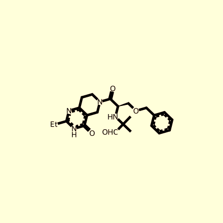 CCc1nc2c(c(=O)[nH]1)CN(C(=O)[C@@H](COCc1ccccc1)NC(C)(C)C=O)CC2